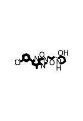 Cc1cc(-c2cccc(Cl)c2)nc2c(=O)n(CC(=O)C[C@H]3NCCC[C@@H]3O)cnc12